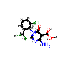 COC(=O)c1c(N)ncn(-c2c(Cl)cccc2C(F)F)c1=O